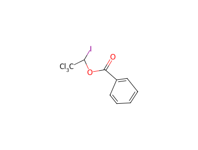 O=C(OC(I)C(Cl)(Cl)Cl)c1ccccc1